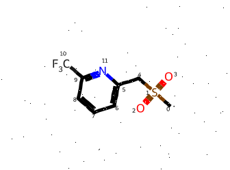 [CH2]S(=O)(=O)Cc1cccc(C(F)(F)F)n1